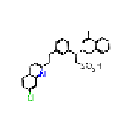 C=C(C)c1ccccc1CC[C@H](CS(=O)(=O)O)c1cccc(/C=C/c2ccc3ccc(Cl)cc3n2)c1